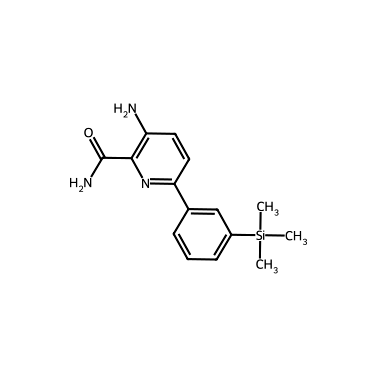 C[Si](C)(C)c1cccc(-c2ccc(N)c(C(N)=O)n2)c1